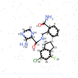 NC(=O)c1ccccc1CN(C(=O)c1nccnc1N)[C@@H]1CCc2c(F)cc(Cl)cc21